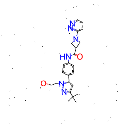 COCCn1nc(C(C)(C)C)cc1-c1ccc(NC(=O)C2CN(c3cccnn3)C2)cc1